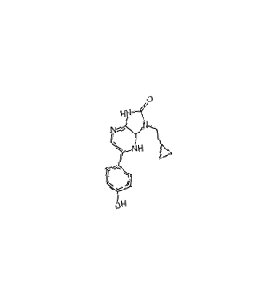 O=C1NC2=NC=C(c3ccc(O)cc3)NC2N1CC1CC1